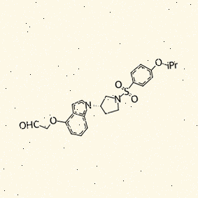 CC(C)Oc1ccc(S(=O)(=O)N2CC[C@H](n3ccc4c(OCC=O)cccc43)C2)cc1